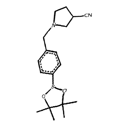 CC1(C)OB(c2ccc(CN3CCC(C#N)C3)cc2)OC1(C)C